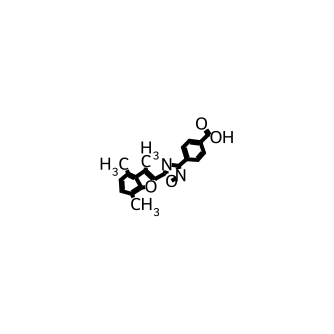 Cc1ccc(C)c2c(C)c(-c3nc(-c4ccc(C(=O)O)cc4)no3)oc12